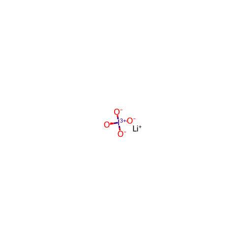 [Li+].[O-][I+3]([O-])([O-])[O-]